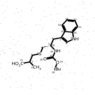 CC(CSC[C@H](Cc1c[nH]c2ccccc12)NC(=O)OC(C)(C)C)C(=O)O